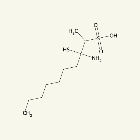 CCCCCCCC(N)(S)C(C)S(=O)(=O)O